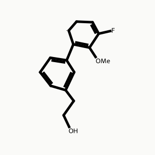 COC1=C(c2cccc(CCO)c2)[CH]CC=C1F